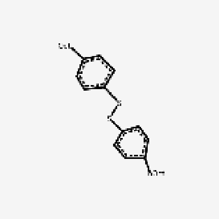 CCCCCCCCc1ccc(SSc2ccc(CCCCCCCC)cc2)cc1